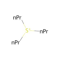 CCC[S+](CCC)CCC